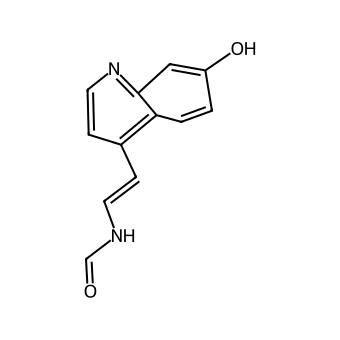 O=CNC=Cc1ccnc2cc(O)ccc12